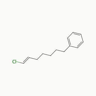 ClC=CCCCCCc1ccccc1